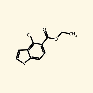 CCOC(=O)c1ccc2sccc2c1Cl